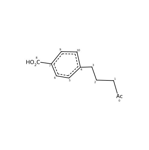 CC(=O)CCCc1ccc(C(=O)O)cc1